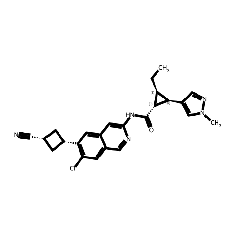 CC[C@@H]1[C@@H](C(=O)Nc2cc3cc([C@H]4C[C@@H](C#N)C4)c(Cl)cc3cn2)[C@@H]1c1cnn(C)c1